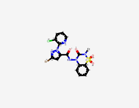 CCN1C(=O)N(NC(=O)c2cc(Br)nn2-c2ncccc2Cl)c2ccccc2S1(=O)=O